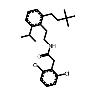 CC(C)c1cccc(CCC(C)(C)C)c1CCNC(=O)Cc1c(Cl)cccc1Cl